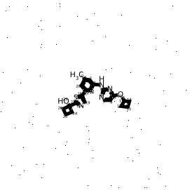 Cc1cc(Nc2nccc(OC3CCC3)n2)cc(-c2cnc(C3(O)CCC3)s2)c1